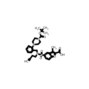 C#CCCN(Cc1ccccc1N1CCN(C(=O)OC(C)(C)C)CC1)S(=O)(=O)c1ccc2oc(C(=O)O)c(C)c2c1